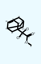 COC(=O)C(Cl)(Cl)C12CC3=CC(CC(C3)C1)C2